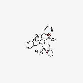 NC(=O)c1c(Cc2ccccc2)c(C(=O)O)c(Cc2ccccc2)c(C(=O)O)c1Cc1ccccc1